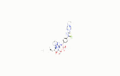 CC(C)=CC1CN(C(C=O)(NC(=O)c2ccc(-c3nc(N4CCN(C)CC4)sc3F)cc2)C2CCCCC2)C2C(=O)COC12